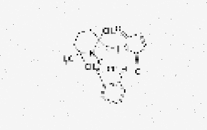 CC1(C)CCCC(C)(C)N1OCc1ccccc1C(=O)O.O=C1C=CC(=O)N1